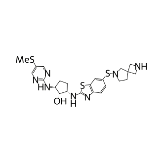 CSc1cnc(N[C@H]2CC[C@H](Nc3nc4ccc(SN5CCC6(CNC6)C5)cc4s3)[C@@H]2O)nc1